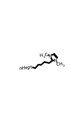 CCCCCCCCCCCCC1N(C)C=CN1C